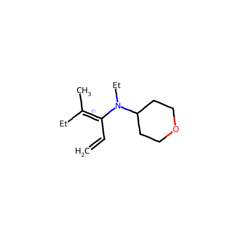 C=C/C(=C(/C)CC)N(CC)C1CCOCC1